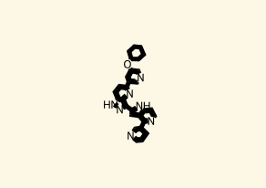 c1cncc(-c2nccc3[nH]c(-c4n[nH]c5ccc(-c6cncc(OC7CCCCC7)c6)nc45)cc23)c1